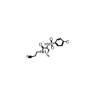 CSCC(NS(=O)(=O)c1ccc(Cl)cc1)C(=O)NCCC#N